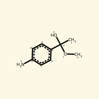 COC(C)(O)c1ccc(N)cc1